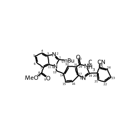 CCCCc1nc2cccc(C(=O)OC)c2n1Cc1ccc2nc(-c3ccccc3C#N)n(C)c(=O)c2c1